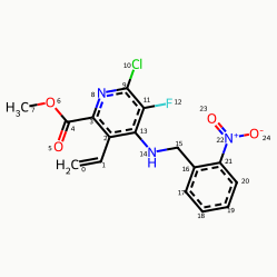 C=Cc1c(C(=O)OC)nc(Cl)c(F)c1NCc1ccccc1[N+](=O)[O-]